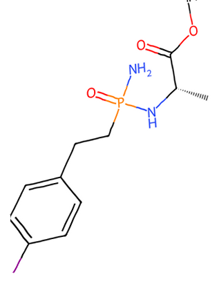 CC(C)OC(=O)[C@H](C)NP(N)(=O)CCc1ccc(I)cc1